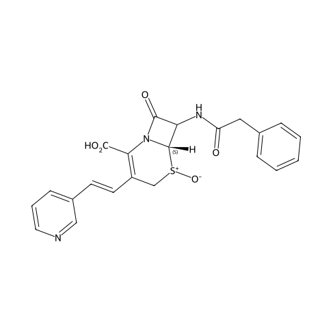 O=C(Cc1ccccc1)NC1C(=O)N2C(C(=O)O)=C(C=Cc3cccnc3)C[S+]([O-])[C@@H]12